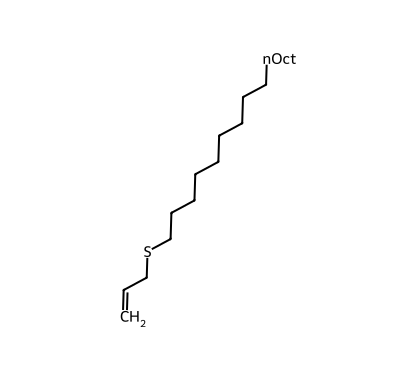 C=CCSCCCCCCCCCCCCCCCCC